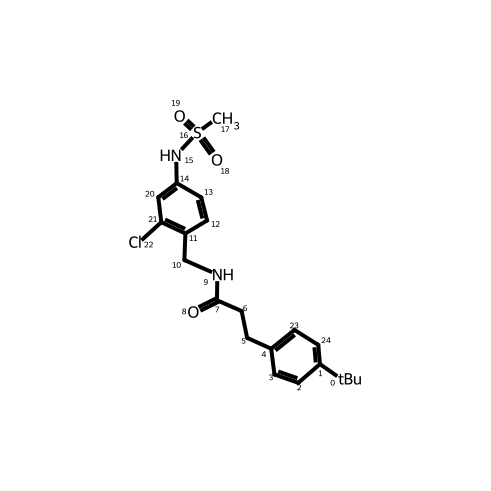 CC(C)(C)c1ccc(CCC(=O)NCc2ccc(NS(C)(=O)=O)cc2Cl)cc1